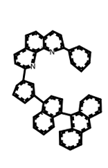 c1ccc(-c2ccc3ccc4ccc(-c5cccc(-c6ccc(-c7c8ccccc8cc8ccccc78)c7ccccc67)c5)nc4c3n2)cc1